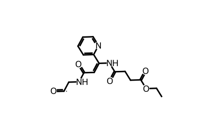 CCOC(=O)CCC(=O)NC(=CC(=O)NC[C]=O)c1ccccn1